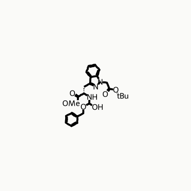 COC(=O)[C@H](Cc1nn(CC(=O)OC(C)(C)C)c2ccccc12)NC(O)OCc1ccccc1